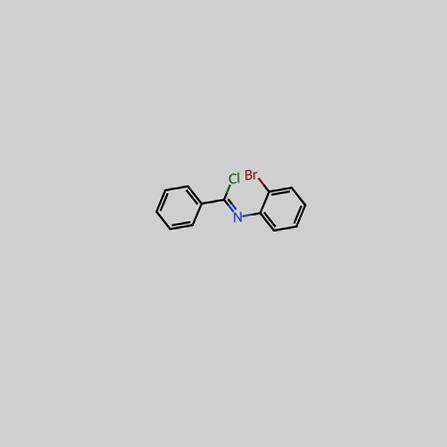 ClC(=Nc1ccccc1Br)c1ccccc1